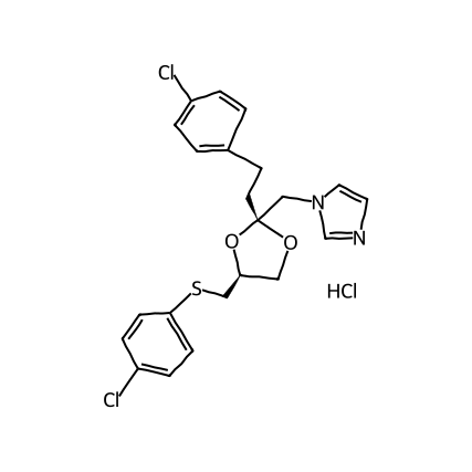 Cl.Clc1ccc(CC[C@@]2(Cn3ccnc3)OC[C@@H](CSc3ccc(Cl)cc3)O2)cc1